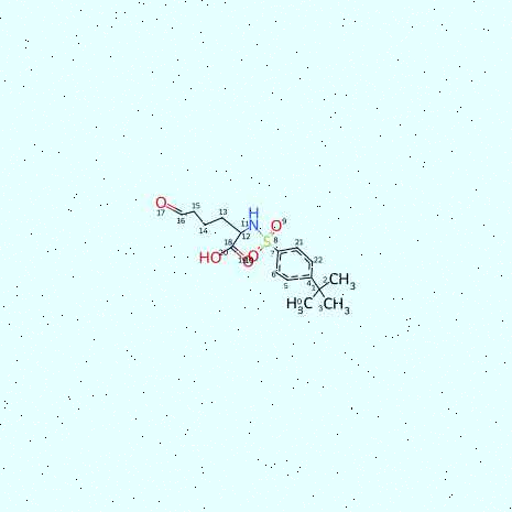 CC(C)(C)c1ccc(S(=O)(=O)NC(CCC[C]=O)C(=O)O)cc1